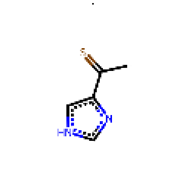 [CH2]C(=S)c1c[nH]cn1